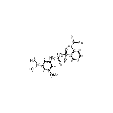 COc1cc(N(C)C)nc(NC(=O)NS(=O)(=O)c2ccccc2SC(F)F)n1